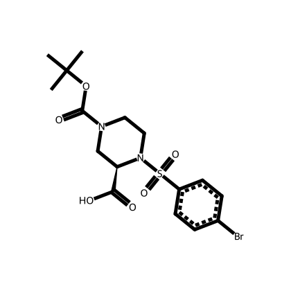 CC(C)(C)OC(=O)N1CCN(S(=O)(=O)c2ccc(Br)cc2)[C@@H](C(=O)O)C1